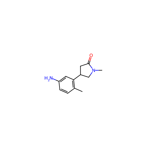 Cc1ccc(N)cc1C1CC(=O)N(C)C1